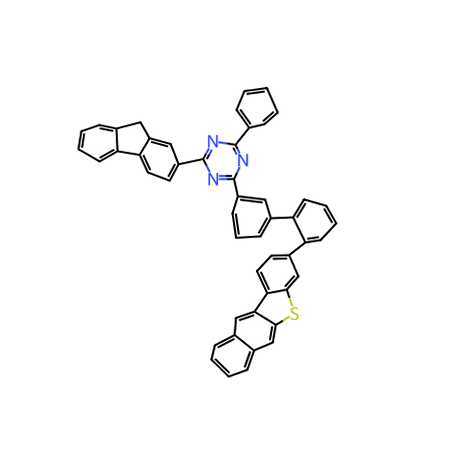 c1ccc(-c2nc(-c3cccc(-c4ccccc4-c4ccc5c(c4)sc4cc6ccccc6cc45)c3)nc(-c3ccc4c(c3)Cc3ccccc3-4)n2)cc1